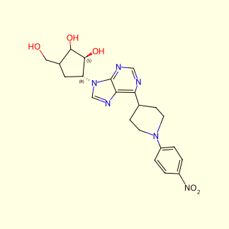 O=[N+]([O-])c1ccc(N2CCC(c3ncnc4c3ncn4[C@@H]3CC(CO)C(O)[C@H]3O)CC2)cc1